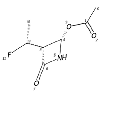 CC(=O)O[C@@H]1NC(=O)[C@@H]1[C@@H](C)F